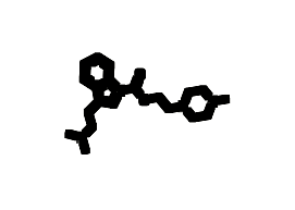 CN(C)CCc1cn(C(=O)OCCN2CCN(C)CC2)c2ccccc12